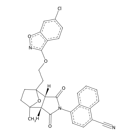 CC12CCC(CCOc3noc4cc(Cl)ccc34)(O1)[C@@H]1C(=O)N(c3ccc(C#N)c4ccccc34)C(=O)[C@@H]12